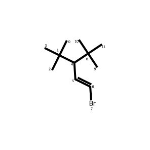 CC(C)(C)C(C=CBr)C(C)(C)C